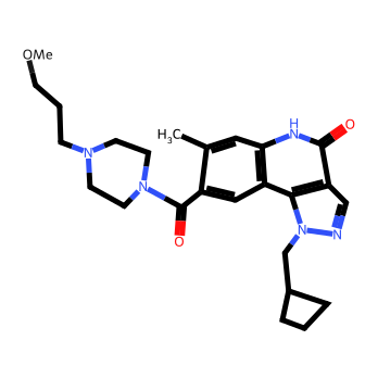 COCCCN1CCN(C(=O)c2cc3c(cc2C)[nH]c(=O)c2cnn(CC4CCC4)c23)CC1